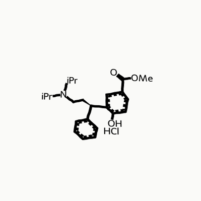 COC(=O)c1ccc(O)c([C@H](CCN(C(C)C)C(C)C)c2ccccc2)c1.Cl